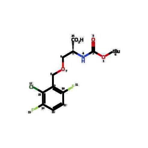 CC(C)(C)OC(=O)N[C@H](COCc1c(F)ccc(F)c1Cl)C(=O)O